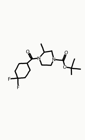 CC1CN(C(=O)OC(C)(C)C)CCN1C(=O)C1CCC(F)(F)CC1